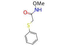 CONC(=O)CSc1ccccc1